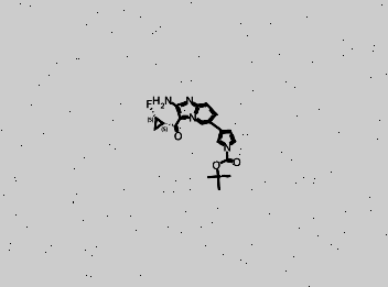 CC(C)(C)OC(=O)n1ccc(-c2ccc3nc(N)c(C(=O)[C@@H]4C[C@@H]4F)n3c2)c1